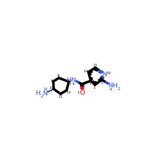 Nc1cc(C(=O)N[C@H]2CC[C@H](N)CC2)ccn1